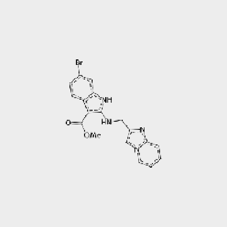 COC(=O)c1c(NCc2cn3ccccc3n2)[nH]c2cc(Br)ccc12